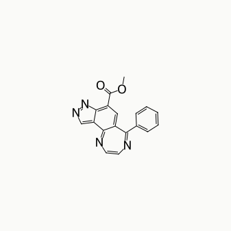 COC(=O)c1cc2c(-c3ccccc3)nccnc2c2cnnc12